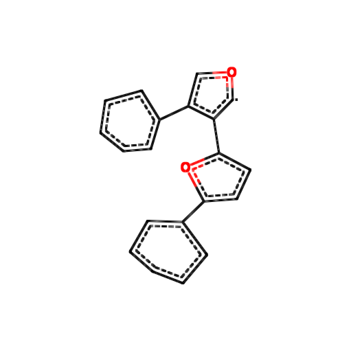 [c]1occ(-c2ccccc2)c1-c1ccc(-c2ccccc2)o1